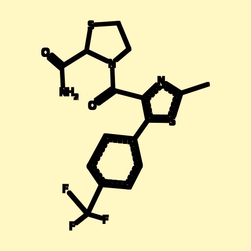 Cc1nc(C(=O)N2CCSC2C(N)=O)c(-c2ccc(C(F)(F)F)cc2)s1